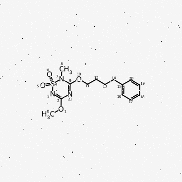 COC1=NS(=O)(=O)N(C)C(OCCCCc2ccccc2)=N1